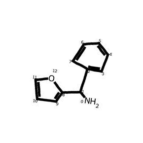 NC(c1ccccc1)c1ccco1